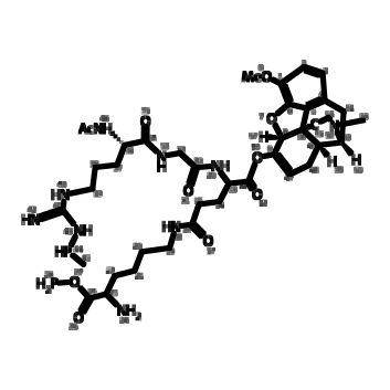 COc1ccc2c3c1O[C@H]1C(OC(=O)C(CCC(=O)NCCCCC(N)C(=O)OP)NC(=O)CNC(=O)[C@H](CCCNC(=N)NPC)NC(C)=O)=CC[C@H]4[C@@H](C2)N(C)CC[C@]314